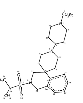 CCOC(=O)N1CCC(N2CCC3(CC2)CN(S(=O)(=O)N(C)C)Cc2ccccc23)CC1